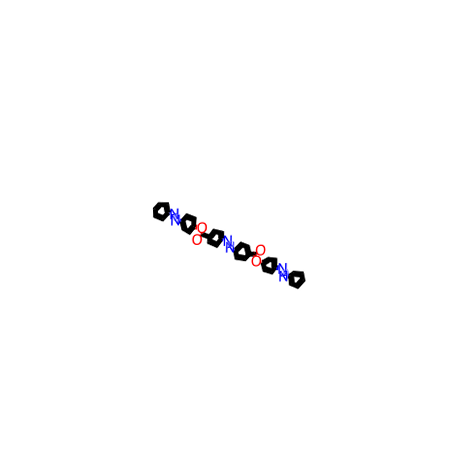 O=C(Oc1ccc(/N=N/c2ccccc2)cc1)c1ccc(/N=N/c2ccc(C(=O)Oc3ccc(/N=N/c4ccccc4)cc3)cc2)cc1